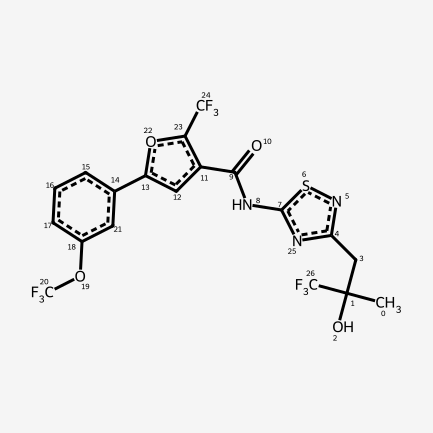 CC(O)(Cc1nsc(NC(=O)c2cc(-c3cccc(OC(F)(F)F)c3)oc2C(F)(F)F)n1)C(F)(F)F